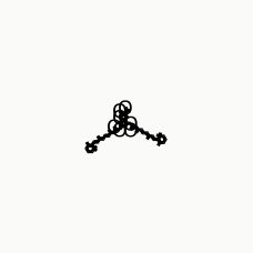 CC(=O)c1cc2c(OC(=O)/C=C(C)/C=C/C=C(C)/C=C/C3=C(C)CCCC3(C)C)cc(OC(=O)/C=C(C)/C=C/C=C(C)/C=C/C3=C(C)CCCC3(C)C)cc2oc1=O